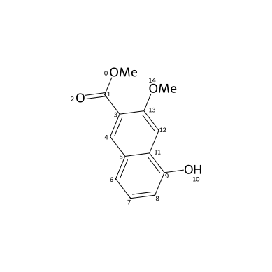 COC(=O)c1cc2cccc(O)c2cc1OC